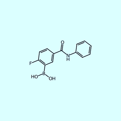 O=C(Nc1ccccc1)c1ccc(F)c(B(O)O)c1